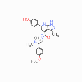 COc1ccc(C(CNC(=O)c2cc(-c3ccc(O)cc3)nc3[nH]nc(C)c23)N(C)C)cc1